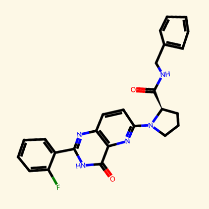 O=C(NCc1ccccc1)[C@H]1CCCN1c1ccc2nc(-c3ccccc3F)[nH]c(=O)c2n1